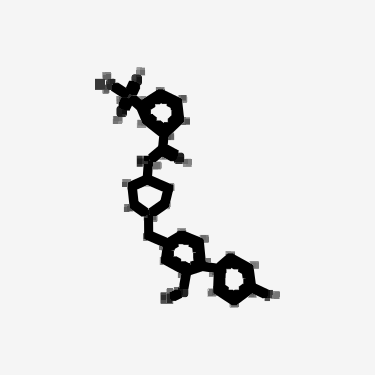 CCOc1cc(CN2CCC(NC(=O)c3cccc(S(C)(=O)=O)c3)CC2)ccc1-c1ccc(F)cc1